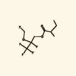 CCC(C)C(=O)OCC(F)(OCF)C(F)(F)F